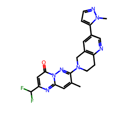 Cc1cc2nc(C(F)F)cc(=O)n2nc1N1CCc2ncc(-c3ccnn3C)cc2C1